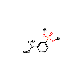 CCOP(=O)(OCC)c1cccc(B(OC)OC)c1